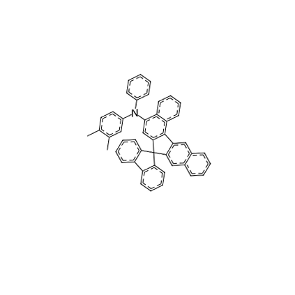 Cc1ccc(N(c2ccccc2)c2cc3c(c4ccccc24)-c2cc4ccccc4cc2C32c3ccccc3-c3ccccc32)cc1C